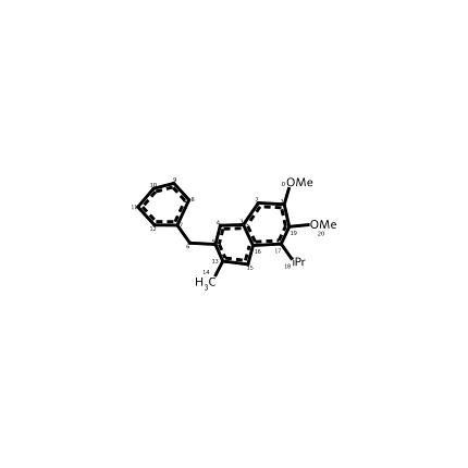 COc1cc2cc(Cc3ccccc3)c(C)cc2c(C(C)C)c1OC